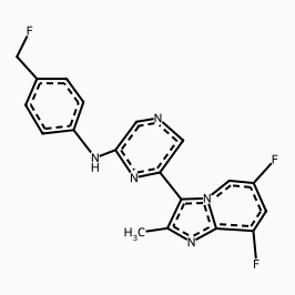 Cc1nc2c(F)cc(F)cn2c1-c1cncc(Nc2ccc(CF)cc2)n1